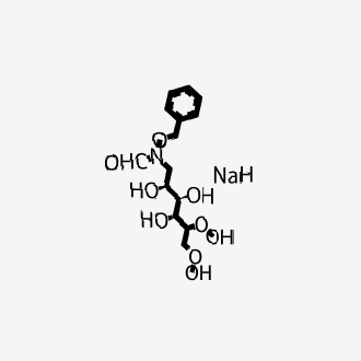 O=CN(C[C@H](O)[C@H](O)[C@H](O)C(COO)OO)OCc1ccccc1.[NaH]